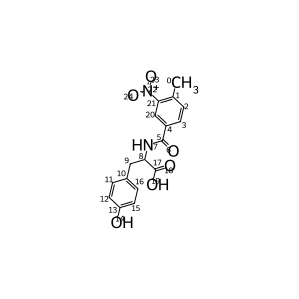 Cc1ccc(C(=O)NC(Cc2ccc(O)cc2)C(=O)O)cc1[N+](=O)[O-]